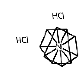 Cl.Cl.[CH]12[CH]3[CH]4[CH]5[CH]1[Ni]23451678[CH]2[CH]1[CH]6[CH]7[CH]28